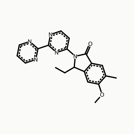 CCC1c2cc(OC)c(C)cc2C(=O)N1c1ccnc(-c2ncccn2)n1